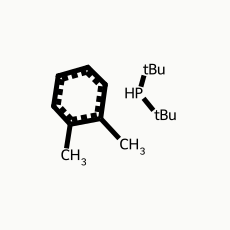 CC(C)(C)PC(C)(C)C.Cc1ccccc1C